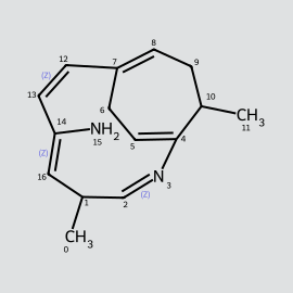 CC1/C=N\C2=CCC(=CCC2C)/C=C\C(N)=C\1